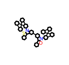 c1ccc2c(c1)-c1ccccc1C21c2ccccc2-c2ccc(-n3c4ccc(-c5ccc6c(c5)c5c7ccccc7sc5n6-c5ccc6c(c5)C5(c7ccccc7-c7ccccc75)c5ccccc5-6)cc4c4c5ccccc5oc43)cc21